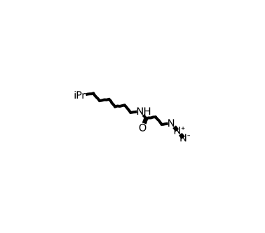 CC(C)CCCCCCNC(=O)CCN=[N+]=[N-]